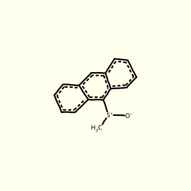 C[S+]([O-])c1c2ccccc2cc2ccccc12